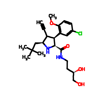 C#CC1[C@H](CC(C)(C)C)N[C@@H](C(=O)NCC[C@H](O)CO)[C@@H]1c1cc(Cl)ccc1OC